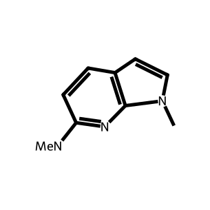 CNc1ccc2ccn(C)c2n1